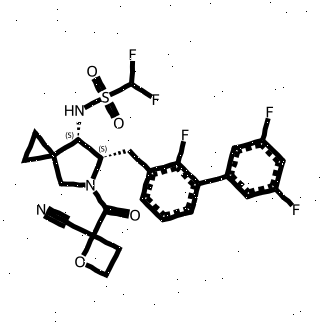 N#CC1(C(=O)N2CC3(CC3)[C@H](NS(=O)(=O)C(F)F)[C@@H]2Cc2cccc(-c3cc(F)cc(F)c3)c2F)CCO1